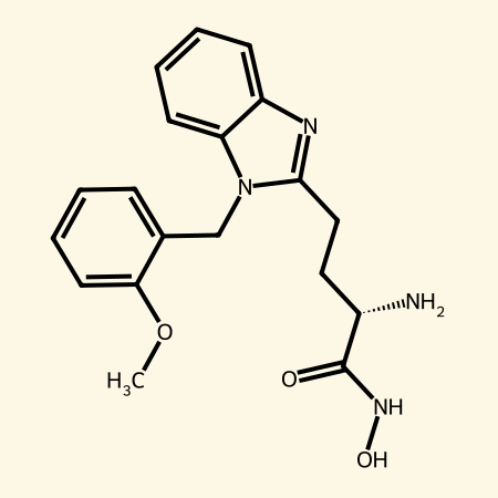 COc1ccccc1Cn1c(CC[C@H](N)C(=O)NO)nc2ccccc21